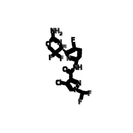 NC1=N[C@H](c2nc(NC(=O)c3nn(C(F)F)cc3Cl)ccc2F)C(F)(F)CO1